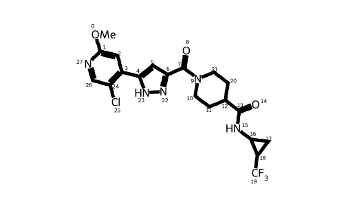 COc1cc(-c2cc(C(=O)N3CCC(C(=O)NC4CC4C(F)(F)F)CC3)n[nH]2)c(Cl)cn1